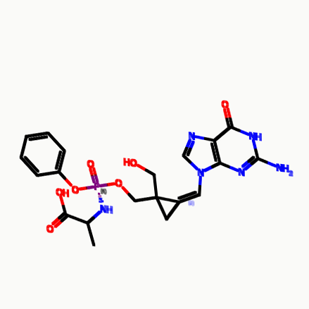 CC(N[P@](=O)(OCC1(CO)C/C1=C/n1cnc2c(=O)[nH]c(N)nc21)Oc1ccccc1)C(=O)O